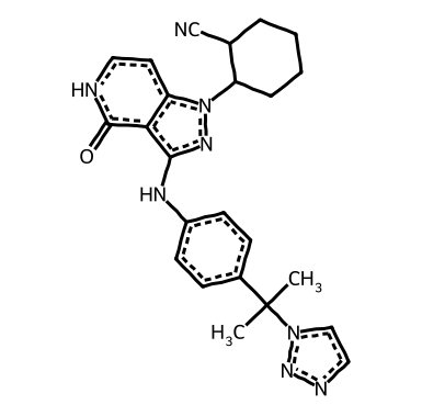 CC(C)(c1ccc(Nc2nn(C3CCCCC3C#N)c3cc[nH]c(=O)c23)cc1)n1ccnn1